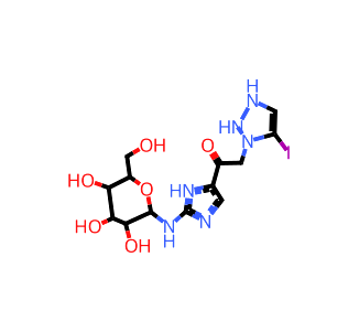 O=C(CN1NNC=C1I)c1cnc(NC2OC(CO)C(O)C(O)C2O)[nH]1